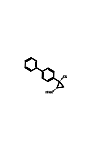 CCCCCC[C@H]1C[C@]1(C#N)c1ccc(-c2cc[c]cc2)cc1